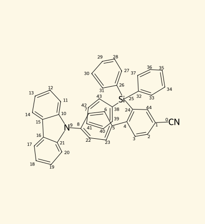 N#Cc1ccc(-c2ccc(-n3c4ccccc4c4ccccc43)cc2)c([Si](c2ccccc2)(c2ccccc2)c2ccccc2)c1